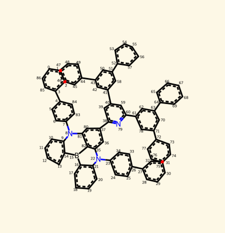 c1ccc(-c2ccc(N3c4ccccc4B4c5ccccc5N(c5ccc(-c6ccccc6)cc5)c5cc(-c6cc(-c7cc(-c8ccccc8)cc(-c8ccccc8)c7)cc(-c7cc(-c8ccccc8)cc(-c8ccccc8)c7)n6)cc3c54)cc2)cc1